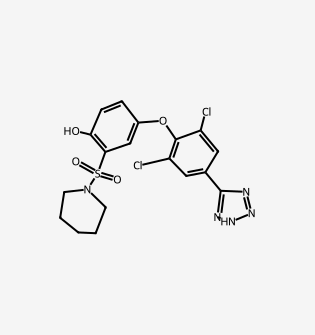 O=S(=O)(c1cc(Oc2c(Cl)cc(-c3nn[nH]n3)cc2Cl)ccc1O)N1CCCCC1